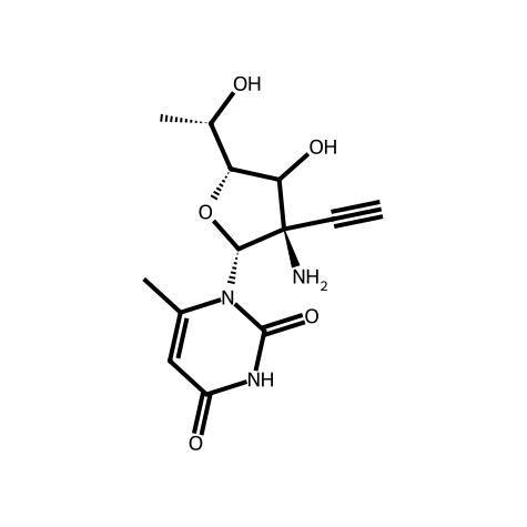 C#C[C@@]1(N)C(O)[C@@H]([C@H](C)O)O[C@H]1n1c(C)cc(=O)[nH]c1=O